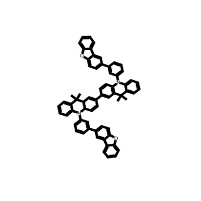 CC1(C)c2ccccc2N(c2cccc(-c3ccc4oc5ccccc5c4c3)c2)c2ccc(C3=CC4C(C=C3)N(c3cccc(-c5ccc6oc7ccccc7c6c5)c3)c3ccccc3C4(C)C)cc21